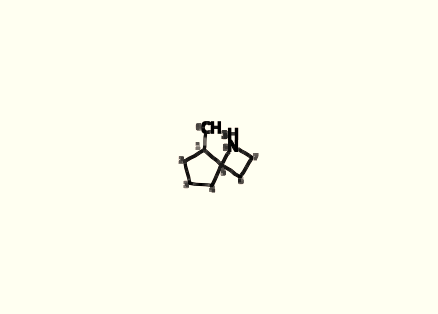 CC1CCCC12CCN2